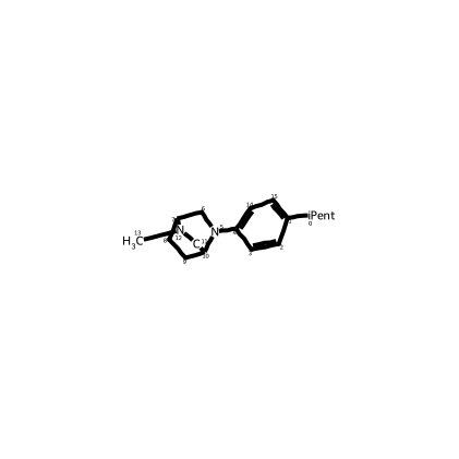 CCCC(C)c1ccc(N2CC3CCC2CN3C)cc1